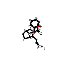 C=CCC1C2CCC(CN1C(=O)O)N2Cc1ccccc1